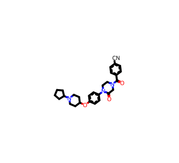 N#Cc1ccc(C(=O)N2CCN(c3ccc(OC4CCN(C5CCCC5)CC4)cc3)C(=O)C2)cc1